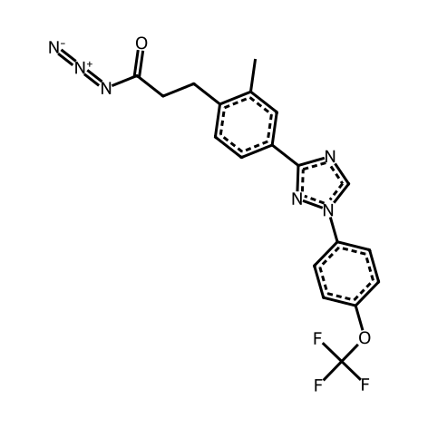 Cc1cc(-c2ncn(-c3ccc(OC(F)(F)F)cc3)n2)ccc1CCC(=O)N=[N+]=[N-]